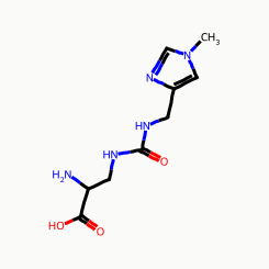 Cn1cnc(CNC(=O)NCC(N)C(=O)O)c1